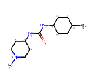 CC(=O)N1CCC(NC(=O)NC2CCC(C(C)(C)C)CC2)CC1